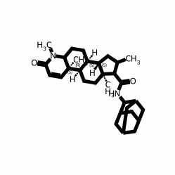 CC1C[C@H]2[C@@H]3CCC4N(C)C(=O)C=C[C@]4(C)[C@@H]3CC[C@]2(C)C1C(=O)NC1C2CC3CC(C2)CC1C3